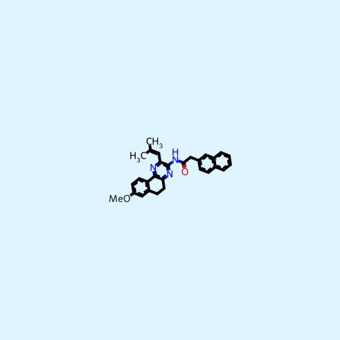 COc1ccc2c(c1)CCc1nc(NC(=O)Cc3ccc4ccccc4c3)c(C=C(C)C)nc1-2